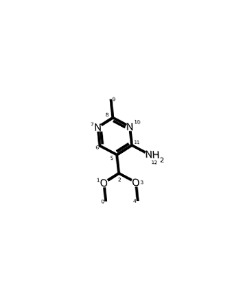 COC(OC)c1cnc(C)nc1N